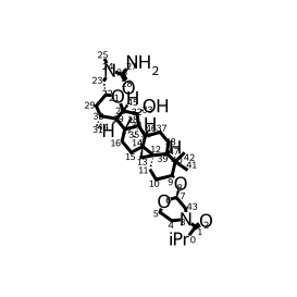 CC(C)C(=O)N1CCO[C@@H](O[C@H]2CC[C@]34C[C@]35CC[C@]3(C)[C@@H]6[C@H](O[C@@H](CN(C)C(N)=O)C[C@H]6C)[C@H](O)[C@@]3(C)[C@@H]5CC[C@H]4C2(C)C)C1